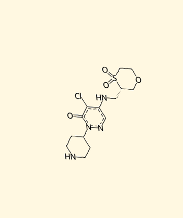 O=c1c(Cl)c(NC[C@H]2COCCS2(=O)=O)cnn1C1CCNCC1